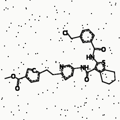 COC(=O)c1ccc(CCc2ccc(NC(=O)c3c(NC(=O)c4cccc(CCl)c4)sc4c3CCCC4)cn2)cc1